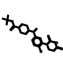 CN(c1ccc(Cl)c(N2CCC(=O)NC2=O)c1)C1CCN(C(=O)OC(C)(C)C)CC1